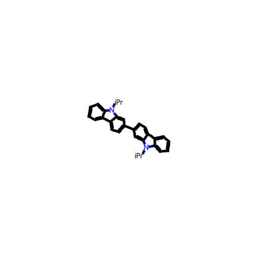 CC(C)n1c2ccccc2c2ccc(-c3ccc4c5ccccc5n(C(C)C)c4c3)cc21